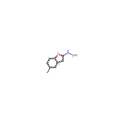 Cc1ccc2oc(NC=O)cc2c1